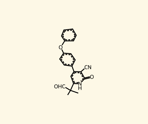 CC(C)(C=O)c1cc(-c2ccc(Oc3ccccc3)cc2)c(C#N)c(=O)[nH]1